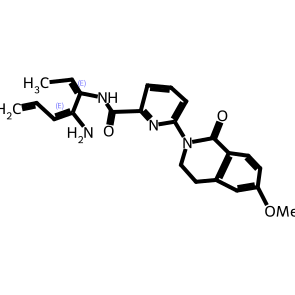 C=C/C=C(N)\C(=C/C)NC(=O)c1cccc(N2CCc3cc(OC)ccc3C2=O)n1